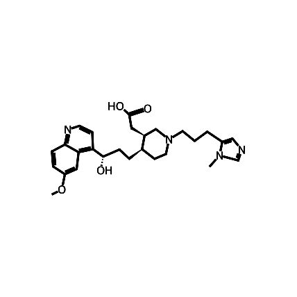 COc1ccc2nccc([C@@H](O)CC[C@@H]3CCN(CCCc4cncn4C)C[C@@H]3CC(=O)O)c2c1